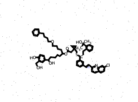 CC(C)(O)c1ccccc1CC[C@@H](SCC1(CC(=O)OC(CCCCOCCCCc2ccccc2)CCCCC(O)c2ccc(O)c(CO)c2)CC1)c1cccc(/C=C/c2ccc3ccc(Cl)cc3n2)c1